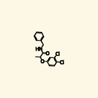 CC(Oc1ccc(Cl)c(Cl)c1)C(=O)NCc1ccccc1